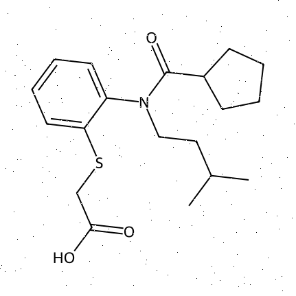 CC(C)CCN(C(=O)C1CCCC1)c1ccccc1SCC(=O)O